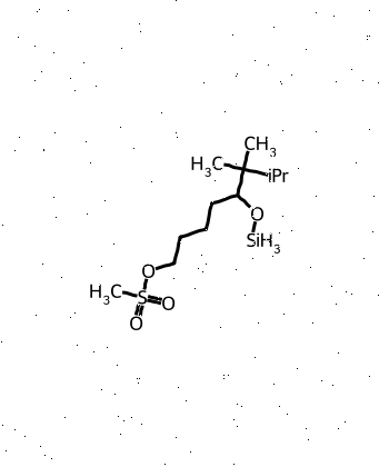 CC(C)C(C)(C)C(CCCCOS(C)(=O)=O)O[SiH3]